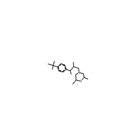 CC1CN(CC(C)C(C)c2ccc(C(C)(C)C)cc2)CC(C)O1